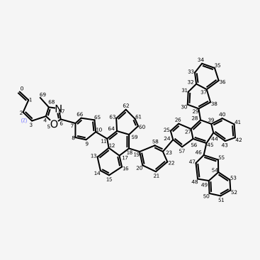 C=C/C=C\c1oc(-c2ccc(-c3c4ccccc4c(-c4cccc(-c5ccc6c(-c7ccc8ccccc8c7)c7ccccc7c(-c7ccc8ccccc8c7)c6c5)c4)c4ccccc34)cc2)nc1C